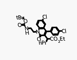 CCCC(C(=O)OCC)c1c(-c2ccc(Cl)cc2)c2cc(Cl)ccc2n(CCNC(=O)OC(C)(C)C)c1=O